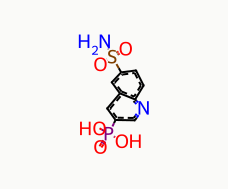 NS(=O)(=O)c1ccc2ncc(P(=O)(O)O)cc2c1